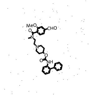 COc1cc(C=O)ccc1C(=O)N(C)CCN1CCC(OC(=O)Nc2ccccc2-c2ccccc2)CC1